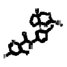 NC1=N[C@@]2(c3cc(NC(=O)c4ncc(F)cc4F)ccc3F)CCC[C@H]2CS1